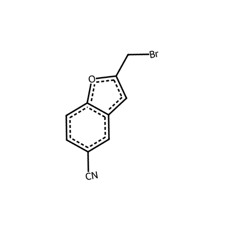 N#Cc1ccc2oc(CBr)cc2c1